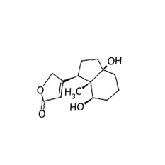 C[C@]12[C@H](O)CCC[C@@]1(O)CC[C@@H]2C1=CC(=O)OC1